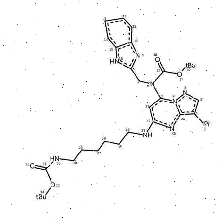 CC(C)c1cnn2c(N(Cc3nc4ccccc4[nH]3)C(=O)OC(C)(C)C)cc(NCCCCCCNC(=O)OC(C)(C)C)nc12